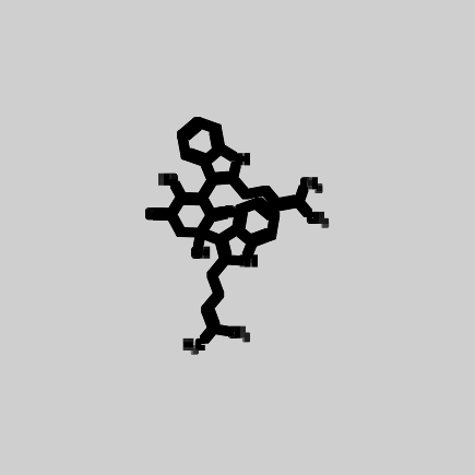 CC(C)=CCCc1[nH]c2ccccc2c1C1=C(O)C(=O)CC(O)(c2c(CCC=C(C)C)[nH]c3ccccc23)C1=O